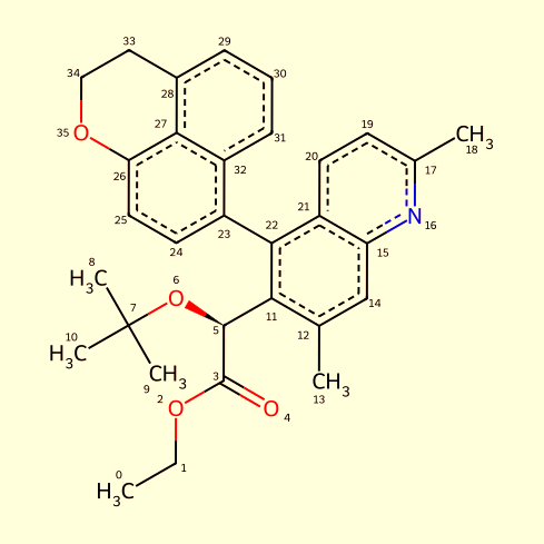 CCOC(=O)[C@@H](OC(C)(C)C)c1c(C)cc2nc(C)ccc2c1-c1ccc2c3c(cccc13)CCO2